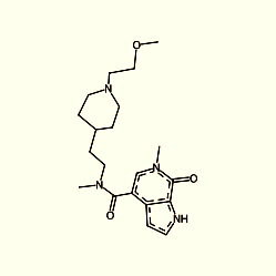 COCCN1CCC(CCN(C)C(=O)c2cn(C)c(=O)c3[nH]ccc23)CC1